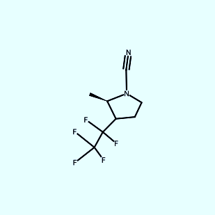 C[C@@H]1C(C(F)(F)C(F)(F)F)CCN1C#N